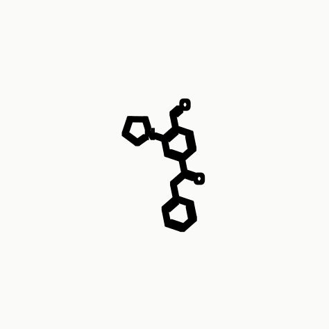 O=Cc1ccc(C(=O)Cc2ccccc2)cc1N1CCCC1